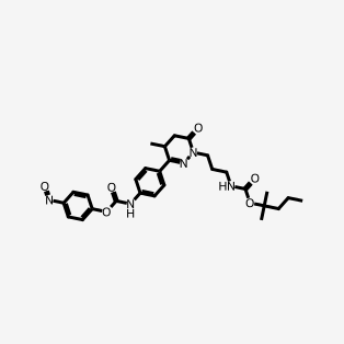 CCCC(C)(C)OC(=O)NCCCN1N=C(c2ccc(NC(=O)Oc3ccc(N=O)cc3)cc2)C(C)CC1=O